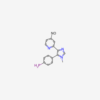 Cn1cnc(-c2cc(N=O)ccn2)c1-c1ccc(P)cc1